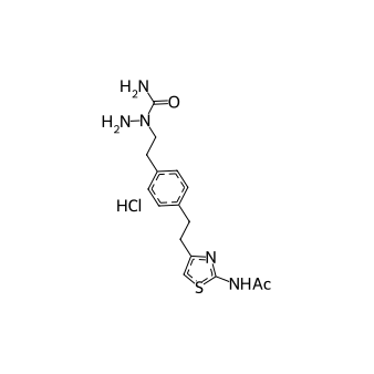 CC(=O)Nc1nc(CCc2ccc(CCN(N)C(N)=O)cc2)cs1.Cl